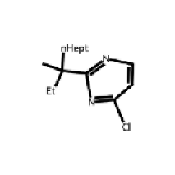 CCCCCCCC(C)(CC)c1nccc(Cl)n1